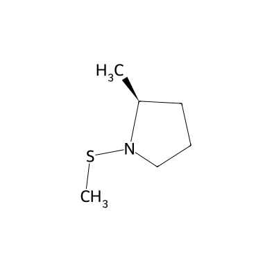 CSN1CCC[C@@H]1C